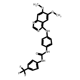 COc1cc2ncnc(Nc3ccc(NC(=O)Nc4ccc(C(F)(F)F)cc4)cc3)c2cc1OC